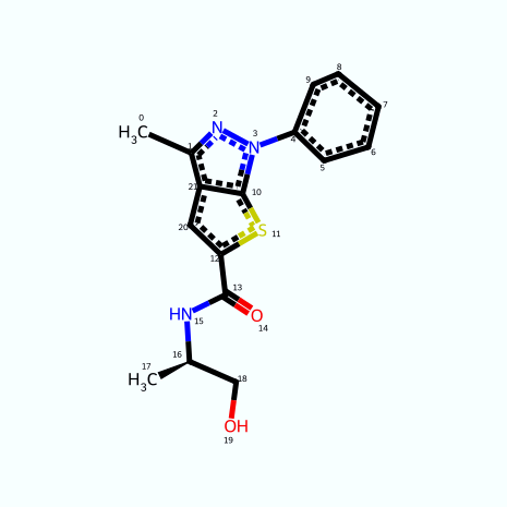 Cc1nn(-c2ccccc2)c2sc(C(=O)N[C@H](C)CO)cc12